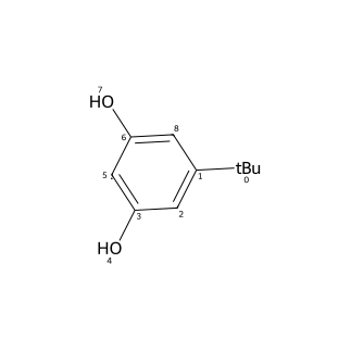 CC(C)(C)c1cc(O)[c]c(O)c1